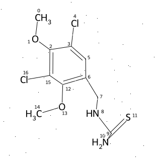 COc1c(Cl)cc(CNC(N)=S)c(OC)c1Cl